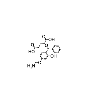 NCOc1ccc(C(=O)c2ccccc2)c(O)c1.O=C(O)CCCC(=O)O